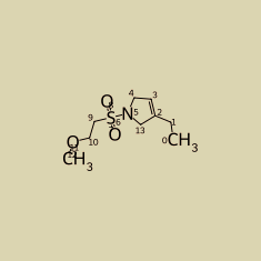 CCC1=CCN(S(=O)(=O)CCOC)C1